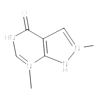 C[n+]1cc2c(=O)[nH]c[n+](C)c2[nH]1